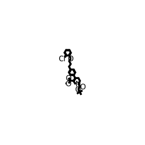 COC(=O)C1=C(c2ccc(CCCOc3ccccc3Cl)cc2)CCN(C(=O)OC(C)(C)C)C1